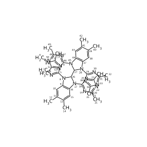 C=N/C(C)=N\C(=N/C)N1c2cc(C)c(C)cc2N(c2nc(C)nc(C)n2)C1C1N(c2nc(C)nc(C)n2)c2cc(C)c(C)cc2N1c1nc(C)nc(C)n1